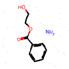 N.O=C(OCCO)c1ccccc1